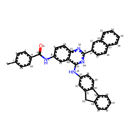 Cc1ccc(C(=O)Nc2ccc3nc(-c4ccc5ccccc5c4)nc(Nc4ccc5c(c4)Cc4ccccc4-5)c3c2)cc1